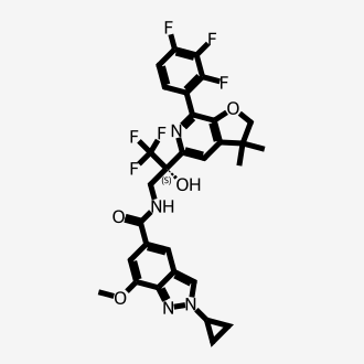 COc1cc(C(=O)NC[C@](O)(c2cc3c(c(-c4ccc(F)c(F)c4F)n2)OCC3(C)C)C(F)(F)F)cc2cn(C3CC3)nc12